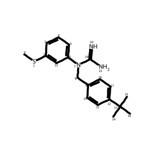 CSc1cccc(N(Cc2ccc(C(C)(C)C)cc2)C(=N)N)c1